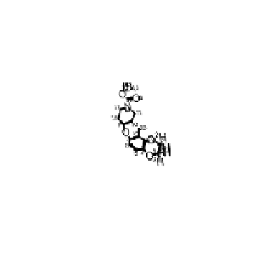 [2H]C1([2H])Oc2ccc(OC3CCN(C(=O)OC(C)(C)C)CC3)c(C)c2OC1([2H])[2H]